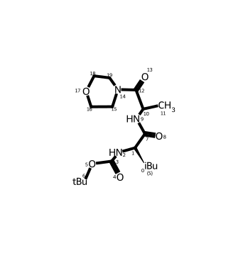 CC[C@H](C)C(NC(=O)OC(C)(C)C)C(=O)NC(C)C(=O)N1CCOCC1